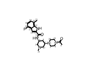 CC(=O)N1CCN([C@@H]2C[C@H](NC(=O)c3cc4c(F)ccc(C)c4[nH]3)CN(C)C2)CC1